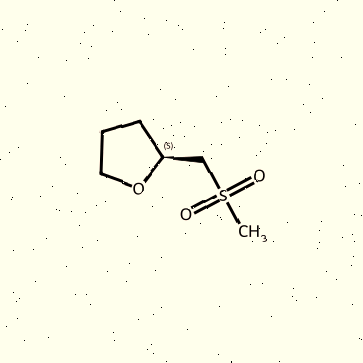 CS(=O)(=O)C[C@@H]1CCCO1